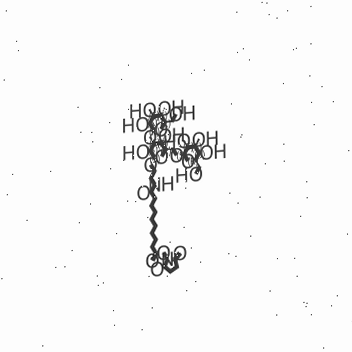 O=C(CCCCCCCCC(=O)ON1C(=O)CCC1=O)NCCO[C@H]1O[C@H](CO[C@H]2O[C@H](CO)[C@@H](O)[C@H](O)[C@@H]2O)[C@@H](O)[C@H](O[C@H]2O[C@H](CO)[C@@H](O)[C@H](O)[C@@H]2O)[C@@H]1O